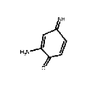 N=C1C=CC(=O)C(N)=C1